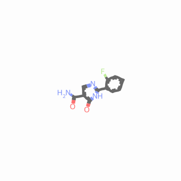 NC(=O)c1cnc(-c2ccccc2F)[nH]c1=O